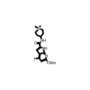 COc1cc(F)c2cc(C(=O)NC3CC[Si](C)(C)CC3)[nH]c2n1